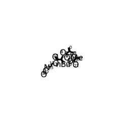 C=C(C)C(=O)OC.C=C(C)C(=O)OCCN=C=O.C=C(S)C(=O)OCCCC